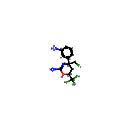 NC1=N[C@](CF)(c2cccc(N)c2)C[C@@H](C(F)(F)F)O1